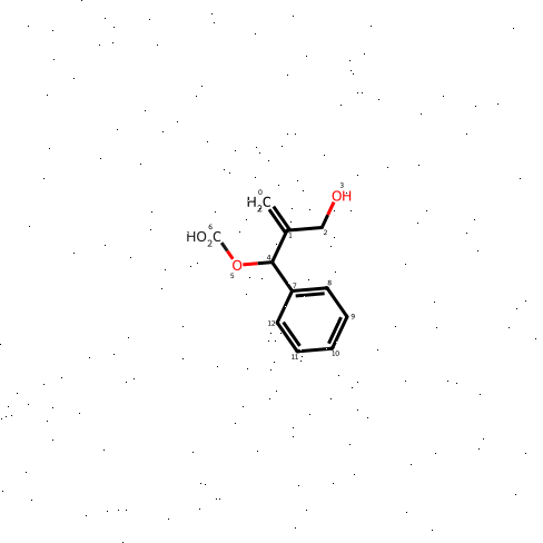 C=C(CO)C(OC(=O)O)c1ccccc1